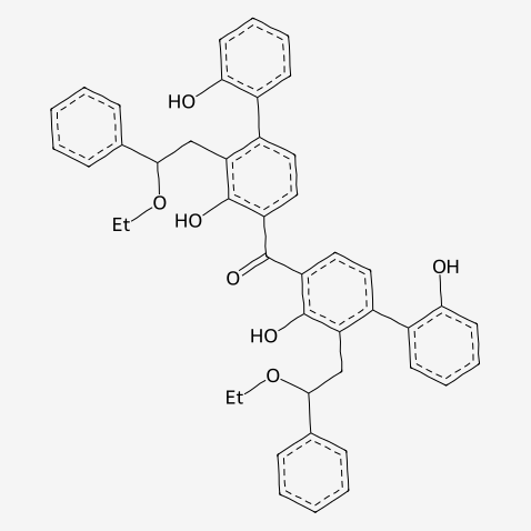 CCOC(Cc1c(-c2ccccc2O)ccc(C(=O)c2ccc(-c3ccccc3O)c(CC(OCC)c3ccccc3)c2O)c1O)c1ccccc1